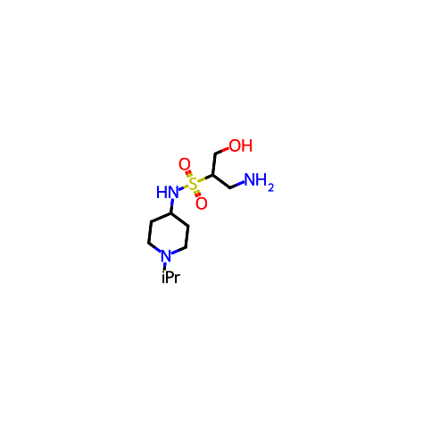 CC(C)N1CCC(NS(=O)(=O)C(CN)CO)CC1